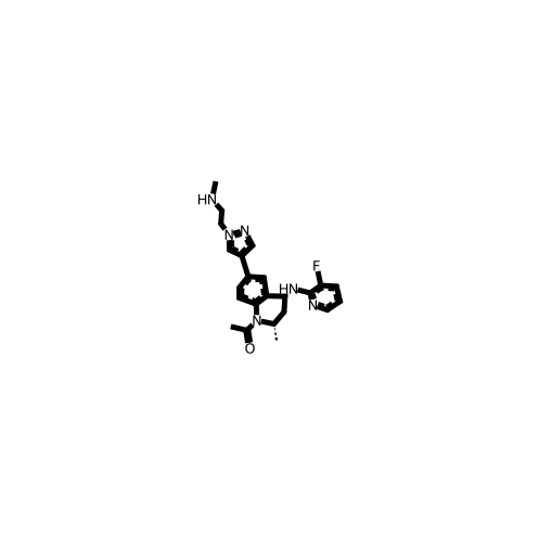 CNCCn1cc(-c2ccc3c(c2)[C@H](Nc2ncccc2F)C[C@H](C)N3C(C)=O)cn1